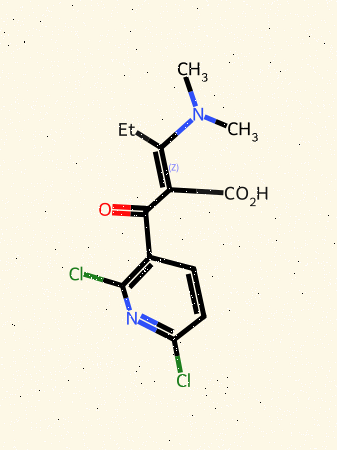 CC/C(=C(/C(=O)O)C(=O)c1ccc(Cl)nc1Cl)N(C)C